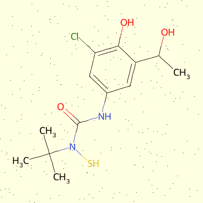 CC(O)c1cc(NC(=O)N(S)C(C)(C)C)cc(Cl)c1O